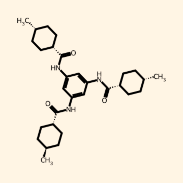 C[C@H]1CC[C@H](C(=O)Nc2cc(NC(=O)[C@H]3CC[C@@H](C)CC3)cc(NC(=O)[C@H]3CC[C@@H](C)CC3)c2)CC1